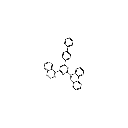 c1ccc(-c2ccc(-c3cc(-c4nccc5ccccc45)nc(-c4cc5ccccc5c5ccccc45)c3)cc2)cc1